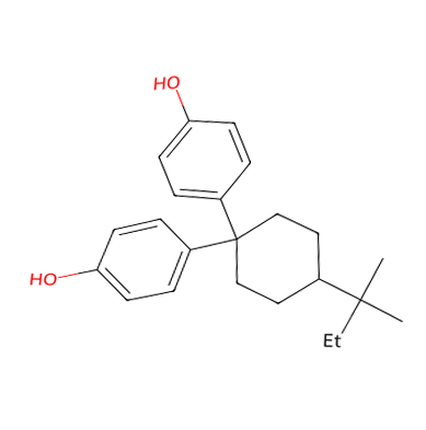 CCC(C)(C)C1CCC(c2ccc(O)cc2)(c2ccc(O)cc2)CC1